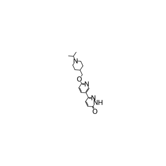 CC(C)N1CCC(COc2ccc(-c3ccc(=O)[nH]n3)cn2)CC1